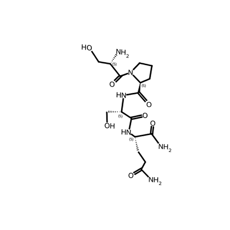 NC(=O)CC[C@H](NC(=O)[C@H](CO)NC(=O)[C@@H]1CCCN1C(=O)[C@@H](N)CO)C(N)=O